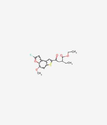 CCOC(=O)C(CC)CC(=O)c1cc2c(cc(OC)c3oc(F)cc32)s1